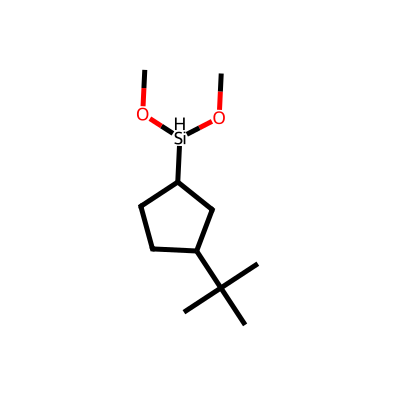 CO[SiH](OC)C1CCC(C(C)(C)C)C1